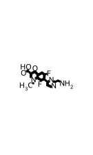 CCn1cc(C(=O)O)c(=O)c2cc(F)c(-c3ccnc(CN)n3)c(F)c21